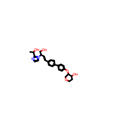 CC(O)c1nccn1C(/C=C/c1ccc(-c2ccc(OC3COCCC3O)cc2)cc1)CO